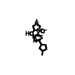 CC1CCC(c2nnc([N+]3([O-])CN(C)CC3O)s2)C1